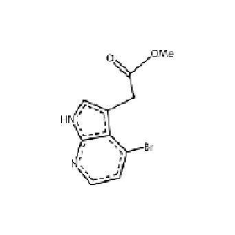 COC(=O)Cc1c[nH]c2nccc(Br)c12